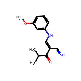 COc1cccc(N/C=C(\C=N)C(=O)C(C)C)c1